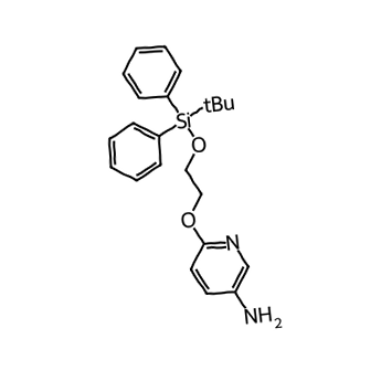 CC(C)(C)[Si](OCCOc1ccc(N)cn1)(c1ccccc1)c1ccccc1